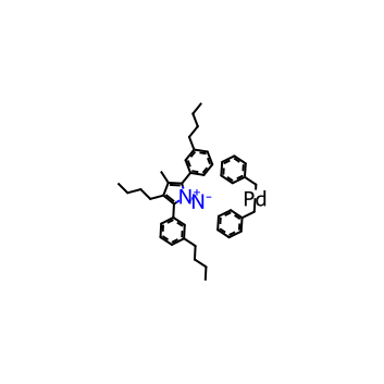 CCCCC1=C(c2cccc(CCCC)c2)[N+](=[N-])C(c2cccc(CCCC)c2)=C1C.c1ccc([CH2][Pd][CH2]c2ccccc2)cc1